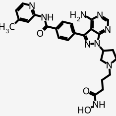 Cc1ccnc(NC(=O)c2ccc(-c3nn(C4CCN(CCCC(=O)NO)C4)c4ncnc(N)c34)cc2)c1